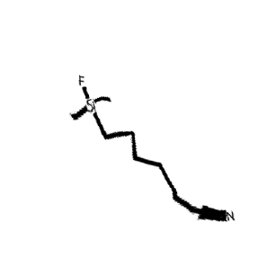 C[Si](C)(F)CCCCCC#N